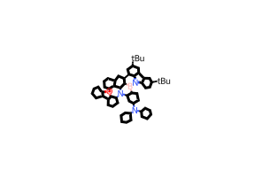 CC(C)(C)c1ccc2c(c1)c1cc(C(C)(C)C)cc3c1n2B1c2ccc(N(c4ccccc4)c4ccccc4)cc2N(c2cccc4c2oc2ccccc24)c2c1c-3cc1ccccc21